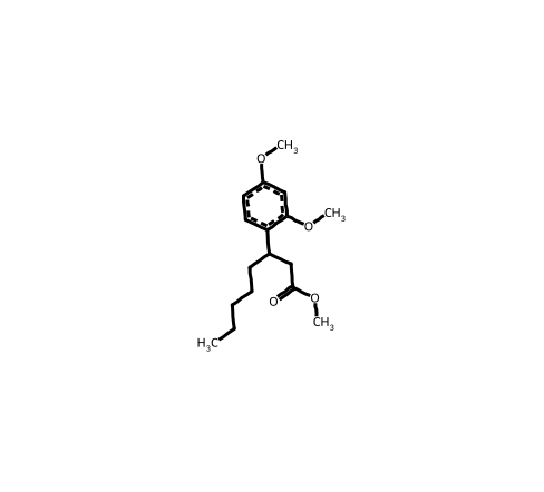 CCCCCC(CC(=O)OC)c1ccc(OC)cc1OC